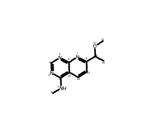 CNc1ncnc2nc(C(C)OC)ccc12